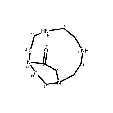 O=C1CN2CCNCCNCCN1CC2